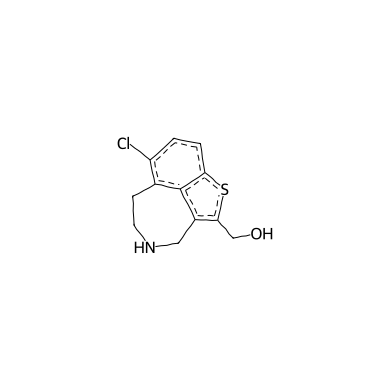 OCc1sc2ccc(Cl)c3c2c1CNCC3